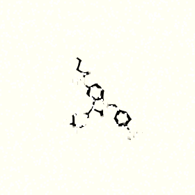 CCCC(=O)Nc1ccc2c(c1)C(C1OCC(C)(C)CO1)C(=O)N2Cc1ccc([N+](=O)[O-])cc1